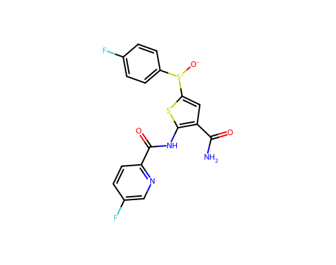 NC(=O)c1cc([S+]([O-])c2ccc(F)cc2)sc1NC(=O)c1ccc(F)cn1